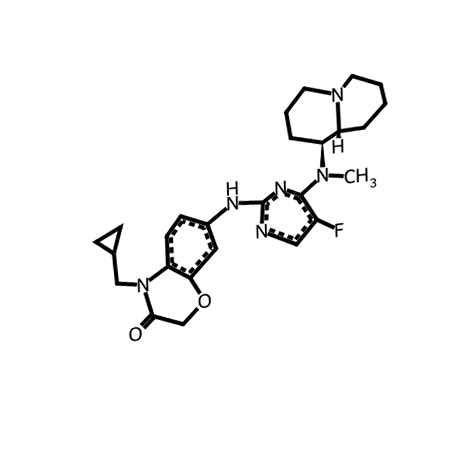 CN(c1nc(Nc2ccc3c(c2)OCC(=O)N3CC2CC2)ncc1F)[C@H]1CCCN2CCCC[C@H]12